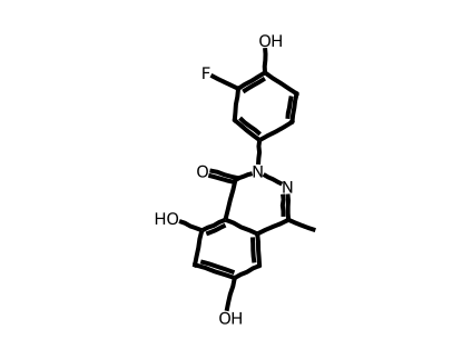 Cc1nn(-c2ccc(O)c(F)c2)c(=O)c2c(O)cc(O)cc12